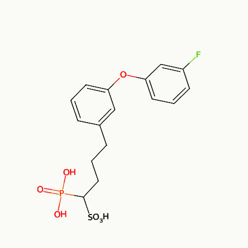 O=P(O)(O)C(CCCc1cccc(Oc2cccc(F)c2)c1)S(=O)(=O)O